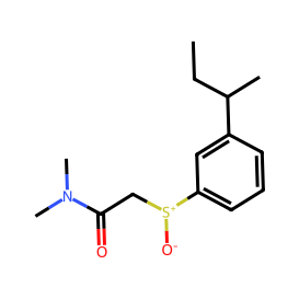 CCC(C)c1cccc([S+]([O-])CC(=O)N(C)C)c1